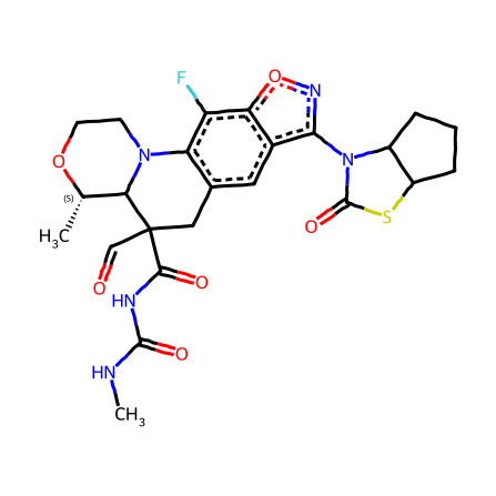 CNC(=O)NC(=O)C1(C=O)Cc2cc3c(N4C(=O)SC5CCCC54)noc3c(F)c2N2CCO[C@@H](C)C21